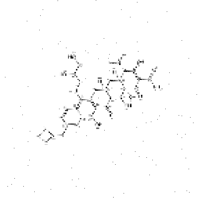 CN(C)[C@@H]1C(O)=C(C(N)=O)C(=O)[C@@]2(O)C(O)=C3C(=O)c4c(c(OCC(O)CO)c5ccc(CN6CCC6)cc5c4O)C[C@H]3C[C@@H]12